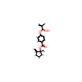 C=C(C)C(O)Oc1ccc(C(=O)OC2(C)CCCC2=C)cc1